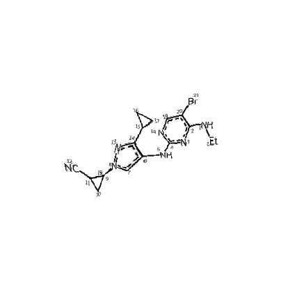 CCNc1nc(Nc2cn([C@H]3CC3C#N)nc2C2CC2)ncc1Br